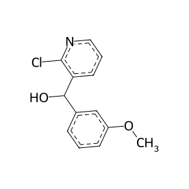 COc1cccc(C(O)c2cccnc2Cl)c1